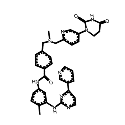 Cc1ccc(NC(=O)c2ccc(CN(C)Cc3ccc(N4CCC(=O)NC4=O)cn3)cc2)cc1Nc1nccc(-c2cccnc2)n1